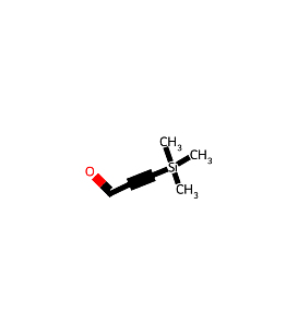 C[Si](C)(C)C#C[C]=O